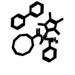 CC1=C(C)C(C)[C]([Hf]([CH3])([NH]C2CCCCCCCC2)[SiH2]c2ccccc2)=C1C.c1ccc(-c2ccccc2)cc1